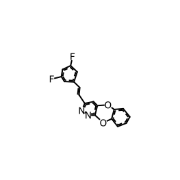 Fc1cc(F)cc(C=Cc2cc3c(nn2)Oc2ccccc2O3)c1